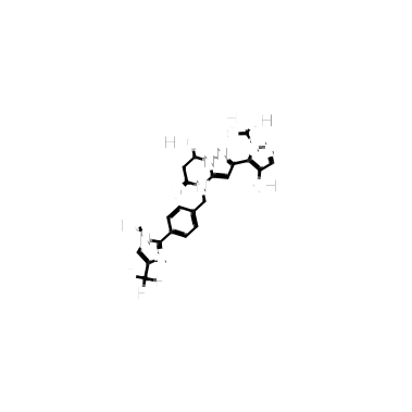 Cc1cnn(C(C)C)c1-c1cc2n(n1)C(C)CC(=O)N2Cc1ccc(-c2nc(C(F)(F)F)cn2C)cc1